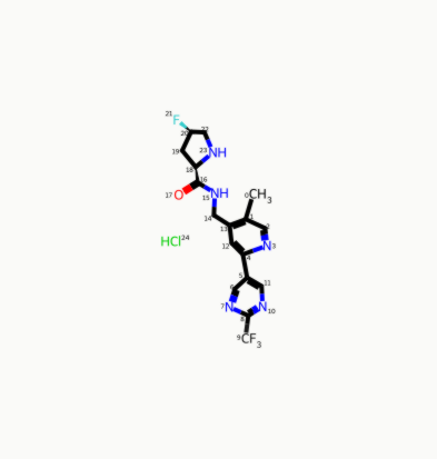 Cc1cnc(-c2cnc(C(F)(F)F)nc2)cc1CNC(=O)[C@H]1C[C@@H](F)CN1.Cl